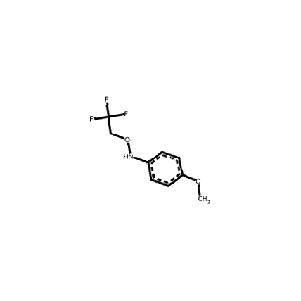 COc1ccc(NOCC(F)(F)F)cc1